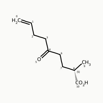 C=CCCC(=O)CC[C@H](C)C(=O)O